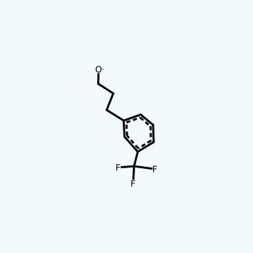 [O]CCCc1cccc(C(F)(F)F)c1